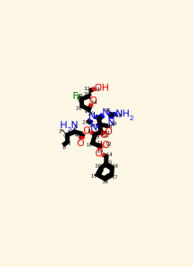 CC[C@H](C)[C@H](N)C(=O)OC(CC(=O)OCc1ccccc1)C(=O)C12N=CN([C@H]3CC(F)[C@@H](CO)O3)C1=NC(N)=NC2=O